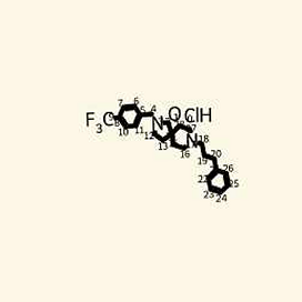 Cl.O=C1N(Cc2ccc(C(F)(F)F)cc2)CCC12CCN(CCCc1ccccc1)CC2